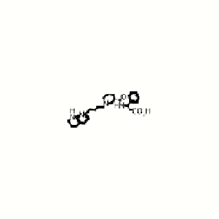 O=C(O)C[C@H](NC(=O)[C@@H]1CCCN(CCCCc2ccc3c(n2)NCCC3)C1)c1ccccc1